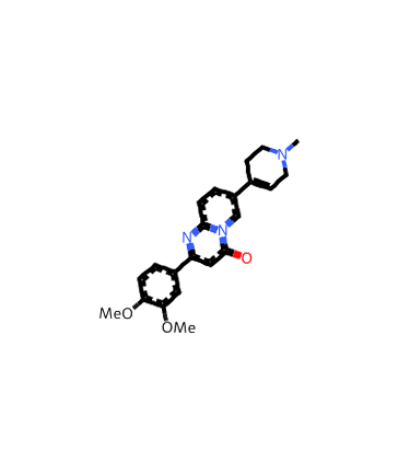 COc1ccc(-c2cc(=O)n3cc(C4=CCN(C)CC4)ccc3n2)cc1OC